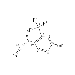 FC(F)(F)c1cc(Br)ccc1N=C=S